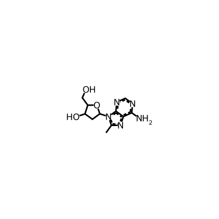 Cc1nc2c(N)ncnc2n1C1CC(O)C(CO)O1